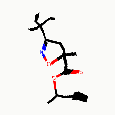 C#CC(C)OC(=O)C1(C)CC(C(C)(C)C)=NO1